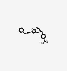 O=C(O)c1ccc(CN2C=Nc3oc(C#CCc4ccccc4)cc3C2)cc1